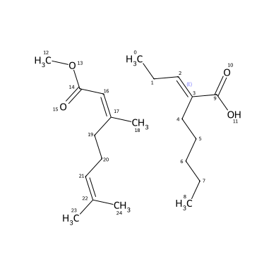 CC/C=C(\CCCCC)C(=O)O.COC(=O)C=C(C)CCC=C(C)C